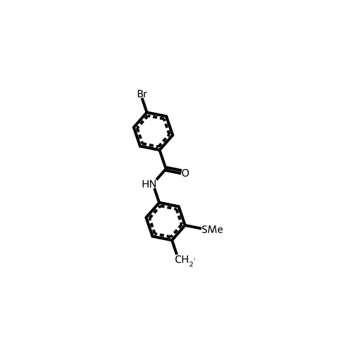 [CH2]c1ccc(NC(=O)c2ccc(Br)cc2)cc1SC